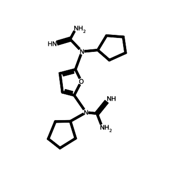 N=C(N)N(c1ccc(N(C(=N)N)C2CCCC2)o1)C1CCCC1